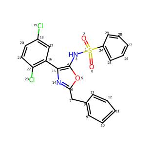 O=S(=O)(Nc1oc(Cc2ccccc2)nc1-c1cc(Cl)ccc1Cl)c1ccccc1